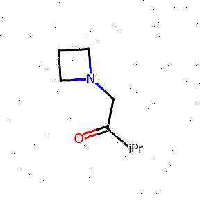 CC(C)C(=O)CN1CCC1